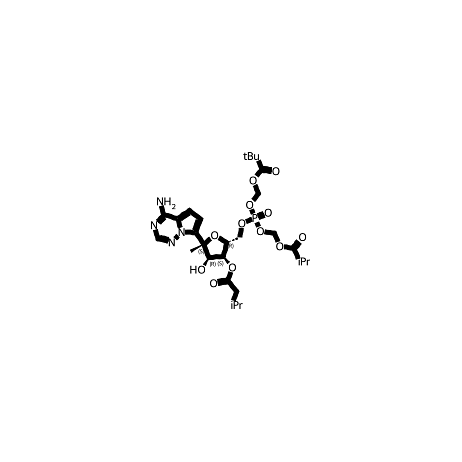 CC(C)CC(=O)O[C@H]1[C@@H](O)[C@](C)(c2ccc3c(N)ncnn23)O[C@@H]1COP(=O)(OCOC(=O)C(C)C)OCOC(=O)C(C)(C)C